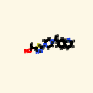 CC(O)c1nnc(N2CCN(C(C)c3ccc4cccnc4c3)CC2)s1